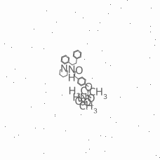 CC(C)(Oc1ccc(CC(=O)NC(Cc2ccccc2)c2ccccc2N2CCCCC2)cc1)C(=O)NS(C)(=O)=O